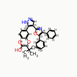 CC(C)(C)C(Oc1cccc(-c2[nH]ncc2-c2nc(-c3ccccc3)c(-c3ccccc3)o2)c1)C(=O)O